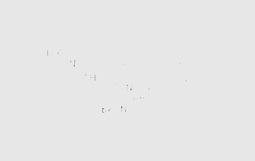 CC/C=C\c1c(-c2cccc(-c3ccc(C)nc3C)c2)nc(-c2cccc(-c3c4ccccc4cc4ccccc34)c2)nc1C(C)C